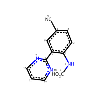 N#Cc1ccc(NC(=O)O)c(-c2ncccn2)c1